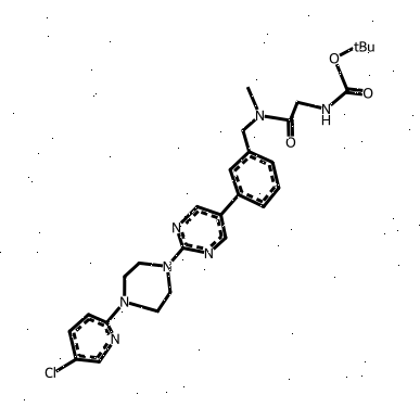 CN(Cc1cccc(-c2cnc(N3CCN(c4ccc(Cl)cn4)CC3)nc2)c1)C(=O)CNC(=O)OC(C)(C)C